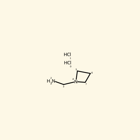 Cl.Cl.NCN1CCC1